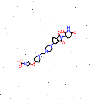 O=C1CCC(N2C(=O)c3ccc(N4CCN(CCN5CCC(OC6CN(C(=O)O)C6)CC5)CC4)cc3C2=O)C(=O)N1